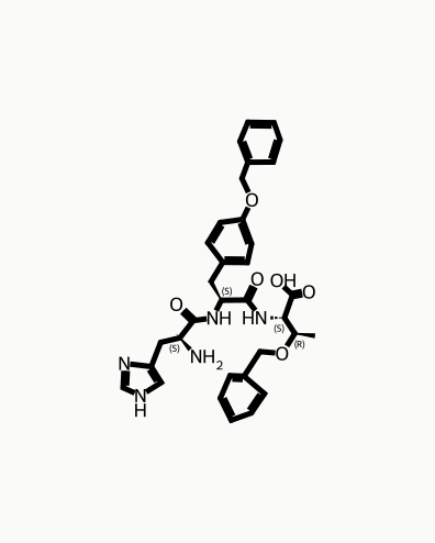 C[C@@H](OCc1ccccc1)[C@H](NC(=O)[C@H](Cc1ccc(OCc2ccccc2)cc1)NC(=O)[C@@H](N)Cc1c[nH]cn1)C(=O)O